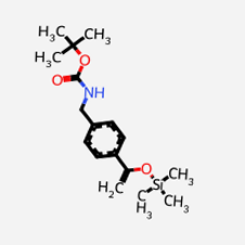 C=C(O[Si](C)(C)C)c1ccc(CNC(=O)OC(C)(C)C)cc1